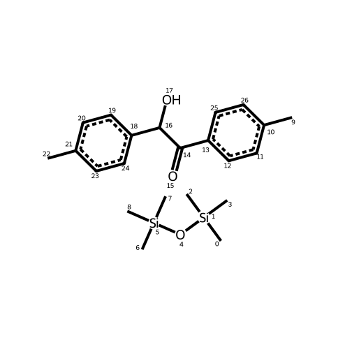 C[Si](C)(C)O[Si](C)(C)C.Cc1ccc(C(=O)C(O)c2ccc(C)cc2)cc1